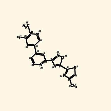 Cc1csc(-c2nc(-c3cc(-c4cnc(C)c(F)c4)ccn3)no2)n1